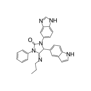 CCCN=C1C(c2ccc3[nH]ccc3c2)N(c2ccc3[nH]cnc3c2)C(=O)N1c1ccccc1